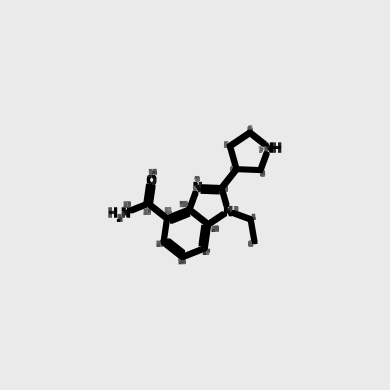 CCn1c(C2CCNC2)nc2c(C(N)=O)cccc21